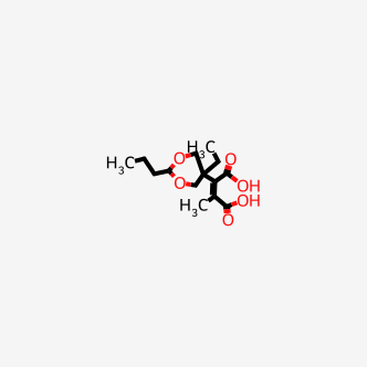 CCCC1OCC(CC)(/C(C(=O)O)=C(\C)C(=O)O)CO1